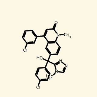 Cn1cnnc1C(O)(c1ccc(Cl)cc1)c1ccc2c(c1)c(-c1cccc(Cl)c1)cc(=O)n2C